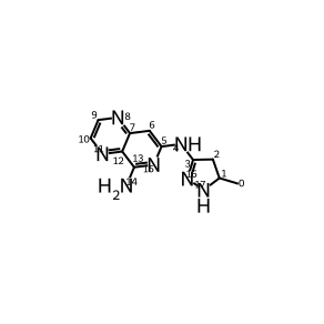 CC1CC(Nc2cc3nccnc3c(N)n2)=NN1